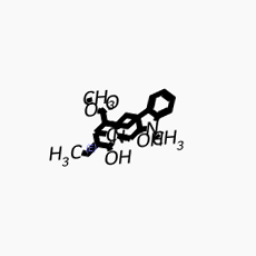 C/C=C1/C(O)N2C3CC45CC3(C(=O)OC)C1CC2C4(O)N(C)c1ccccc15